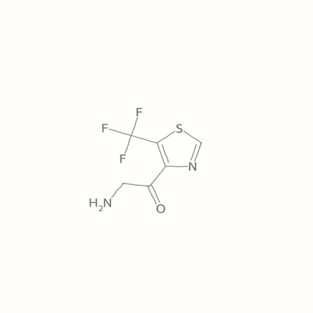 NCC(=O)c1ncsc1C(F)(F)F